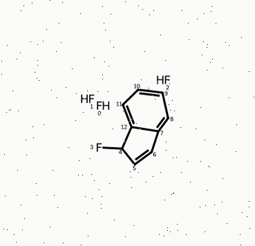 F.F.F.FC1C=Cc2ccccc21